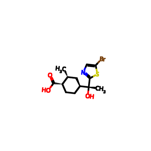 C[C@@H]1C[C@@H]([C@@](C)(O)c2ncc(Br)s2)CC[C@@H]1C(=O)O